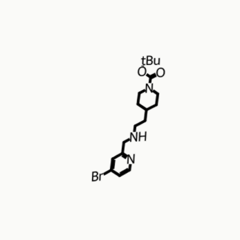 CC(C)(C)OC(=O)N1CCC(CCNCc2cc(Br)ccn2)CC1